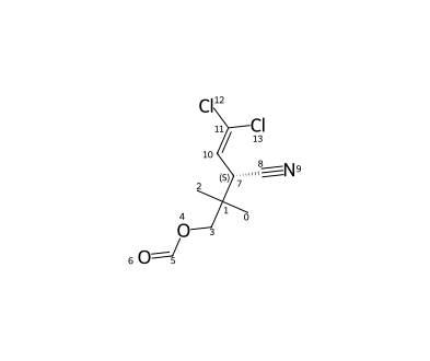 CC(C)(COC=O)[C@@H](C#N)C=C(Cl)Cl